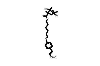 CC(C)C(C)(C)CC(C)(C(=O)OCCCCCCOc1ccc(/C=C/C=O)cc1)C(C)(C)C(C)C